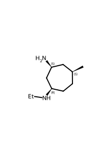 CCN[C@@H]1CC[C@H](C)C[C@H](N)C1